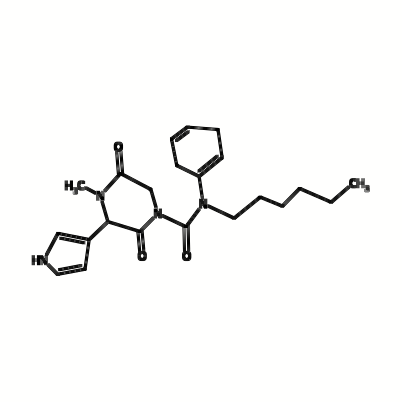 CCCCCCN(C(=O)N1CC(=O)N(C)C(c2cc[nH]c2)C1=O)C1=CCC=CC1